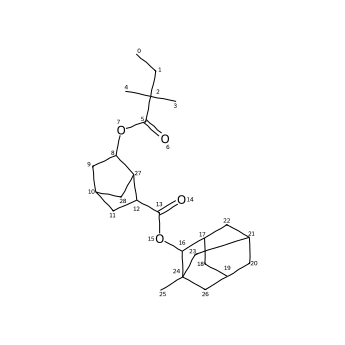 CCC(C)(C)C(=O)OC1CC2CC(C(=O)OC3C4CC5CC(C4)CC3(C)C5)C1C2